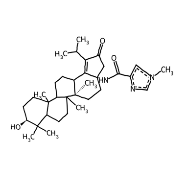 CC(C)C1=C2C3CCC4C5(C)CC[C@H](O)C(C)(C)C5CCC4(C)[C@]3(C)CCC2(NC(=O)c2cn(C)cn2)CC1=O